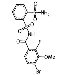 COc1c(Br)ccc(C(=O)NS(=O)(=O)c2ccccc2S(N)(=O)=O)c1F